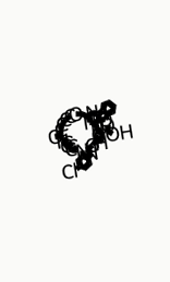 O=C(O)[C@@H]1C[C@H]2CN1c1nc(nc3c1oc1ccccc13)COCCCCC(=O)N1CCC(CC1)n1c(nc3ccc(Cl)cc31)O2